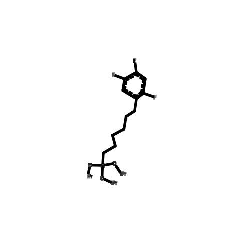 CC(C)O[Si](CCCCCCc1cc(F)c(F)cc1F)(OC(C)C)OC(C)C